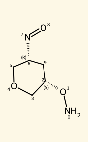 NO[C@@H]1COC[C@H](N=O)C1